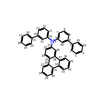 c1ccc(-c2cccc(N(c3cccc(-c4ccccc4)c3)c3ccc4c5ccccc5c5ccccc5c4c3)c2)cc1